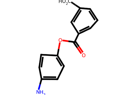 Nc1ccc(OC(=O)c2cccc(C(=O)O)c2)cc1